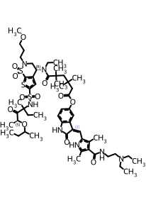 CCC(C)O[C@@H](C)C(=O)C(C)(CC)NS(=O)(=O)c1cc2c(s1)S(=O)(=O)N(CCCOC)C[C@@H]2N(CC)C(=O)C(C)(C)CC(C)(C)CC(=O)Oc1ccc2c(c1)/C(=C/c1[nH]c(C)c(C(=O)NCCN(CC)CC)c1C)C(=O)N2